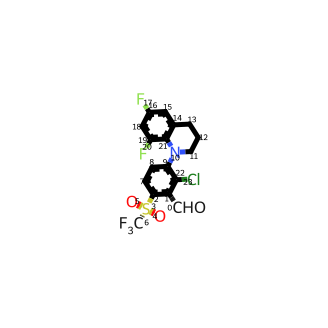 O=Cc1c(S(=O)(=O)C(F)(F)F)ccc(N2CCCc3cc(F)cc(F)c32)c1Cl